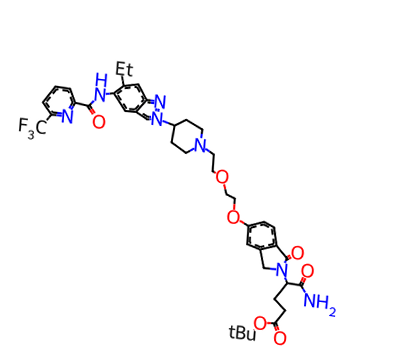 CCc1cc2nn(C3CCN(CCOCCOc4ccc5c(c4)CN(C(CCC(=O)OC(C)(C)C)C(N)=O)C5=O)CC3)cc2cc1NC(=O)c1cccc(C(F)(F)F)n1